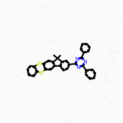 CC1(C)c2cc(-c3nc(-c4ccccc4)nc(-c4ccccc4)n3)ccc2-c2cc3c(cc21)Sc1ccccc1S3